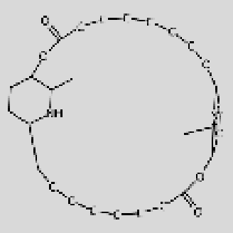 CC1NC2CCCCCCCC(=O)OC3CCC(CCCCCCCC(=O)OC1CC2)NC3C